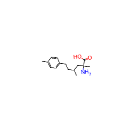 Cc1ccc(CCC(C)CC(C)(N)C(=O)O)cc1